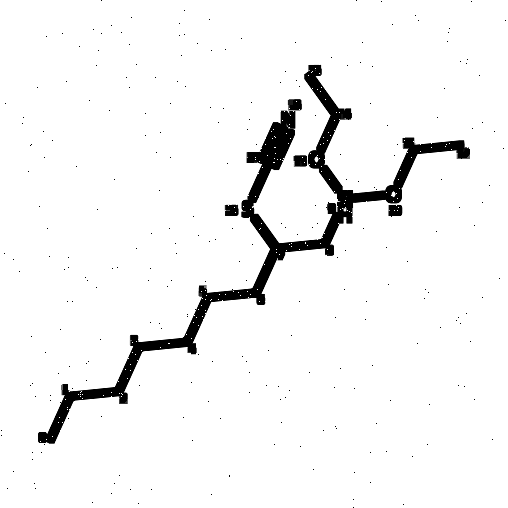 CCCCCCCC(C[SiH](OCC)OCC)SC#N